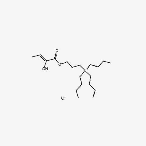 CC=C(O)C(=O)OCCC[N+](CCCC)(CCCC)CCCC.[Cl-]